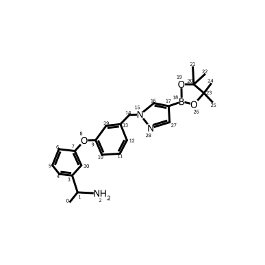 CC(N)c1cccc(Oc2cccc(Cn3cc(B4OC(C)(C)C(C)(C)O4)cn3)c2)c1